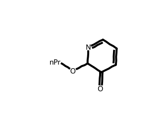 CCCOC1N=CC=CC1=O